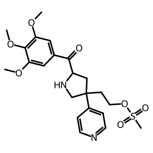 COc1cc(C(=O)C2CC(CCOS(C)(=O)=O)(c3ccncc3)CN2)cc(OC)c1OC